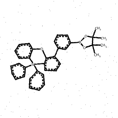 CC1(C)OB(c2cccc(-c3cccc4c3Oc3ccccc3[Si]4(c3ccccc3)c3ccccc3)c2)OC1(C)C